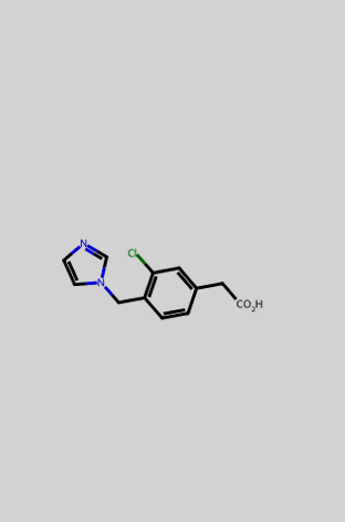 O=C(O)Cc1ccc(Cn2ccnc2)c(Cl)c1